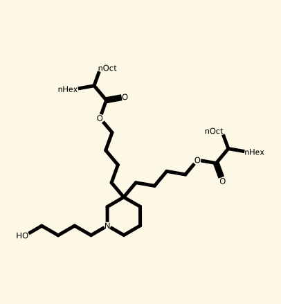 CCCCCCCCC(CCCCCC)C(=O)OCCCCC1(CCCCOC(=O)C(CCCCCC)CCCCCCCC)CCCN(CCCCO)C1